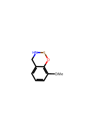 COc1cccc2c1OSNC2